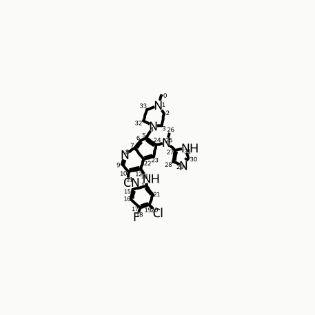 CN1CCN(c2cc3ncc(C#N)c(Nc4ccc(F)c(Cl)c4)c3cc2N(C)c2cnc[nH]2)CC1